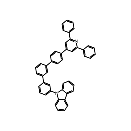 c1ccc(-c2cc(-c3ccc(-c4cccc(-c5cccc(-n6c7ccccc7c7ccccc76)c5)c4)cc3)cc(-c3ccccc3)n2)cc1